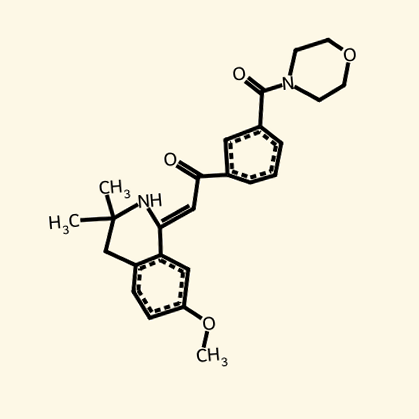 COc1ccc2c(c1)/C(=C/C(=O)c1cccc(C(=O)N3CCOCC3)c1)NC(C)(C)C2